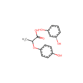 CC(Oc1ccc(O)cc1)C(=O)O.Oc1cccc(O)c1